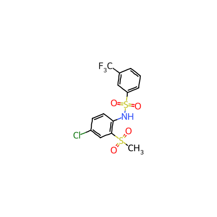 CS(=O)(=O)c1cc(Cl)ccc1NS(=O)(=O)c1cccc(C(F)(F)F)c1